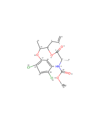 C=CCC(OC(=O)[C@H](C)NC(=O)OC(C)(C)C)C(C)Oc1ccc(Cl)cc1Cl